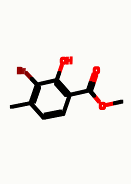 COC(=O)c1ccc(C)c(Br)c1O